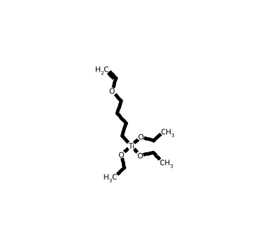 C=COCCC[CH2][Ti]([O]CC)([O]CC)[O]CC